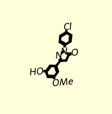 COc1cc(O)cc(C2=NN(c3ccc(Cl)cc3)C(=O)C2)c1